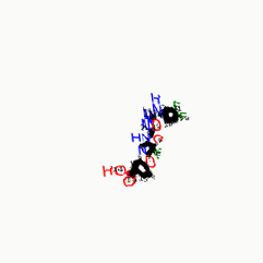 O=C(Nc1cnc(OC2CCC(C(=O)O)CC2)c(F)c1)c1nnc(Nc2ccc(F)c(F)c2)o1